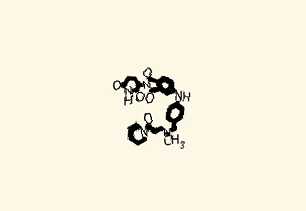 CN(CCC(=O)N1CCCCC1)CC1CCC(Nc2ccc3c(c2)C(=O)N(C2CCC(=O)NC2=O)C3=O)CC1